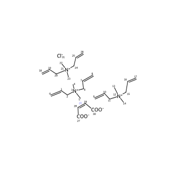 C=CC[N+](C)(C)CC=C.C=CC[N+](C)(C)CC=C.C=CC[N+](C)(C)CC=C.O=C([O-])/C=C\C(=O)[O-].[Cl-]